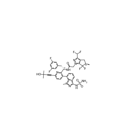 C[C@@H]1Cc2c(C(F)F)nn(CC(=O)N[C@@H](Cc3cc(F)cc(F)c3)c3nc(C#CC(C)(C)O)ccc3-c3cccc4c(NS(N)(=O)=O)nn(C)c34)c2C1(F)F